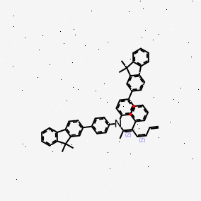 C=C/C=C\C(=C(/C)N(c1ccc(-c2ccc3c(c2)C(C)(C)c2ccccc2-3)cc1)c1ccc(-c2ccc3c(c2)C(C)(C)c2ccccc2-3)cc1)c1ccccc1